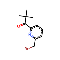 CC(C)(C)C(=O)c1cccc(CBr)n1